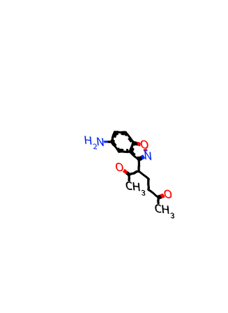 CC(=O)CCC(C(C)=O)c1noc2ccc(N)cc12